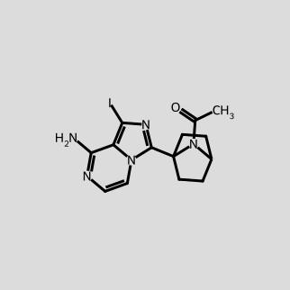 CC(=O)N1C2CCC1(c1nc(I)c3c(N)nccn13)CC2